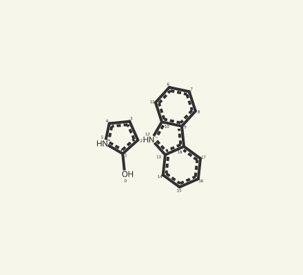 Oc1ccc[nH]1.c1ccc2c(c1)[nH]c1ccccc12